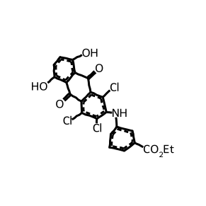 CCOC(=O)c1cccc(Nc2c(Cl)c(Cl)c3c(c2Cl)C(=O)c2c(O)ccc(O)c2C3=O)c1